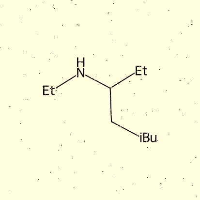 CCNC(CC)CC(C)CC